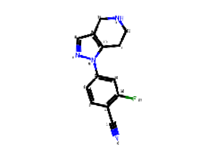 N#Cc1ccc(-n2ncc3c2CCNC3)cc1F